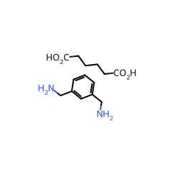 NCc1cccc(CN)c1.O=C(O)CCCCC(=O)O